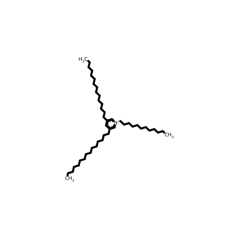 CCCCCCCCCCCCCCCc1cc(CCCCCCCCCCCCCCC)c[n+](CCCCCCCCCCCC)c1